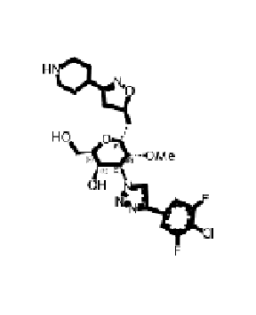 CO[C@@H]1[C@@H](n2cc(-c3cc(F)c(Cl)c(F)c3)nn2)[C@@H](O)[C@@H](CO)O[C@@H]1CC1CC(C2CCNCC2)=NO1